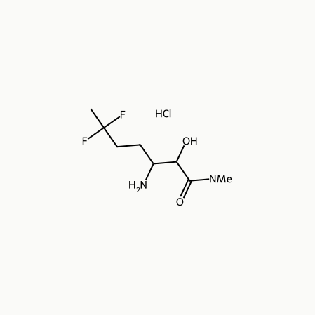 CNC(=O)C(O)C(N)CCC(C)(F)F.Cl